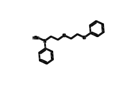 CCCCN(CCOCCOc1ccccc1)c1ccccc1